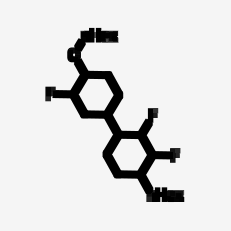 CCCCCCOC1CCC(C2CCC(CCCCCC)C(F)C2F)CC1F